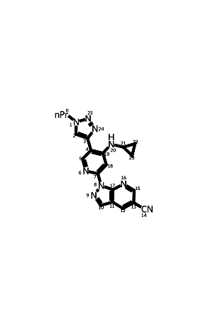 CCCn1cc(-c2cnc(-n3ncc4cc(C#N)cnc43)cc2NC2CC2)nn1